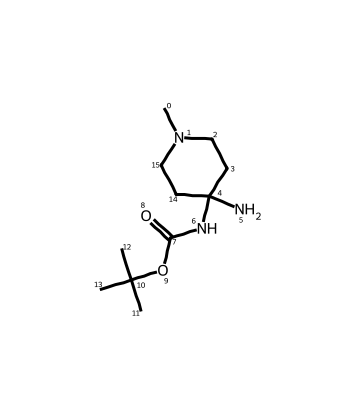 CN1CCC(N)(NC(=O)OC(C)(C)C)CC1